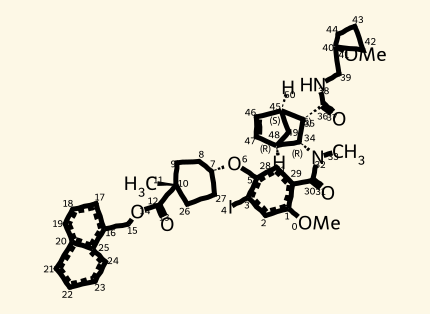 COc1cc(I)c(O[C@H]2CC[C@@](C)(C(=O)OCc3cccc4ccccc34)CC2)cc1C(=O)N(C)[C@H]1[C@@H](C(=O)NCC2(OC)CCC2)[C@@H]2C=C[C@H]1C2